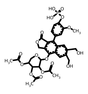 COc1cc(-c2c3c(c(OC4OCC(OC(C)=O)C(OC(C)=O)C4OC(C)=O)c4cc(CO)c(CO)cc24)COC3=O)ccc1OP(=O)(O)O